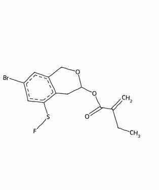 C=C(CC)C(=O)OC1Cc2c(cc(Br)cc2SF)CO1